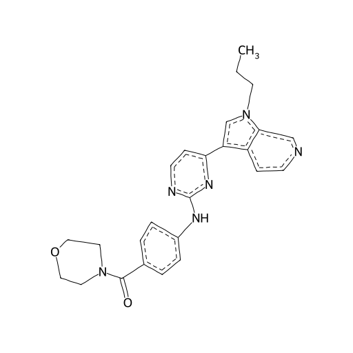 CCCn1cc(-c2ccnc(Nc3ccc(C(=O)N4CCOCC4)cc3)n2)c2ccncc21